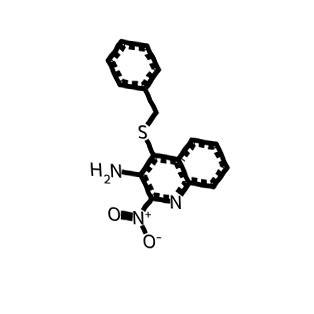 Nc1c([N+](=O)[O-])nc2ccccc2c1SCc1ccccc1